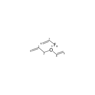 C=CCOC=C.C=CF